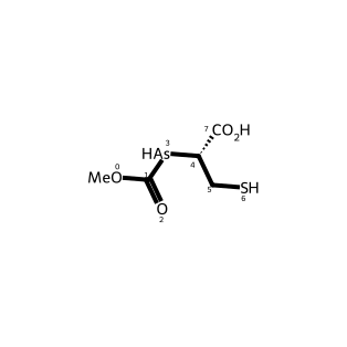 COC(=O)[AsH][C@@H](CS)C(=O)O